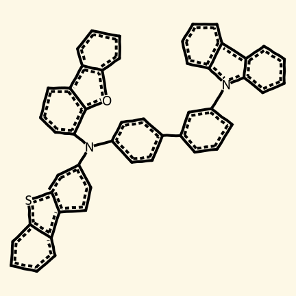 c1cc(-c2ccc(N(c3ccc4c(c3)sc3ccccc34)c3cccc4c3oc3ccccc34)cc2)cc(-n2c3ccccc3c3ccccc32)c1